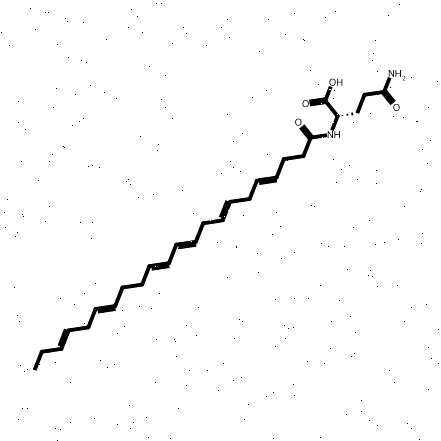 CCC=CCC=CCCC=CC=CCC=CCC=CCCC(=O)N[C@@H](CCC(N)=O)C(=O)O